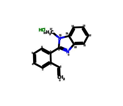 C=Cc1ccccc1-c1nc2ccccc2n1C.Cl